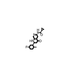 Cc1ccc(F)cc1-c1cc(=O)c2cc(NC(=O)C3CC3)ncc2[nH]1